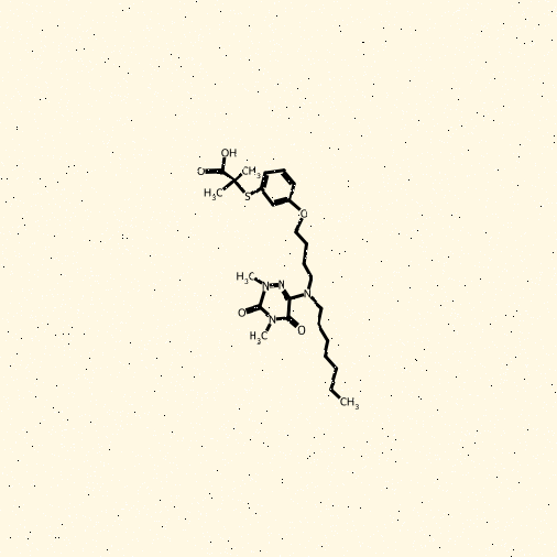 CCCCCCCN(CCCCOc1cccc(SC(C)(C)C(=O)O)c1)c1nn(C)c(=O)n(C)c1=O